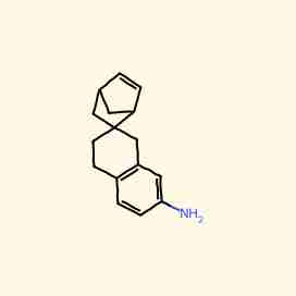 Nc1ccc2c(c1)CC1(CC2)CC2C=CC1C2